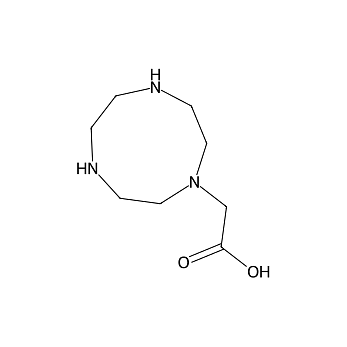 O=C(O)CN1CCNCCNCC1